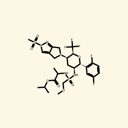 COCP(=O)(NC(C)C(=O)OC(C)C)N[C@H]1C[C@@H](N2Cc3cn(S(C)(=O)=O)nc3C2)[C@@H](C(F)(F)F)O[C@@H]1c1cc(F)ccc1F